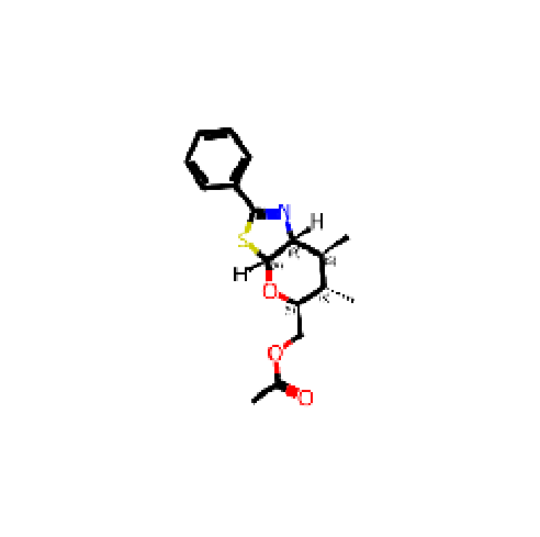 CC(=O)OC[C@H]1O[C@@H]2SC(c3ccccc3)=N[C@@H]2[C@@H](C)[C@@H]1C